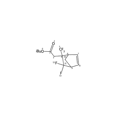 CC(C)COC(=O)CC1(C(F)(F)F)C2C=CC(C2)C1(F)F